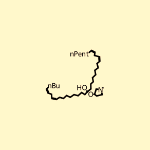 CCCC/C=C\C/C=C\CCCCCCCCC(O)(CCCCCCCC/C=C\C/C=C\CCCCC)OC1CCN(C)C1